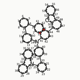 c1ccc(-c2ccccc2-c2cccc(N(c3ccc(-c4ccccc4-n4c5ccccc5c5ccccc54)cc3)c3ccc(-c4cccc5c4oc4ccccc45)cc3)c2)cc1